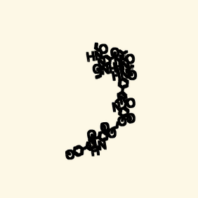 C=CC(=O)Nc1cc(C(=O)N[C@H](C(=O)N[C@@H](C)C(=O)Nc2ccc(C3=CN4C(=O)c5cc(OC)c(OCCCOc6cc7c(cc6OC)C(=O)N6C=C(c8ccc(OC)cc8)C[C@H]6C=N7)cc5N=CC4C3)cc2)C(C)C)cc(NC(=O)C=C)n1